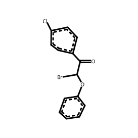 O=C(c1ccc(Cl)cc1)C(Br)Oc1ccccc1